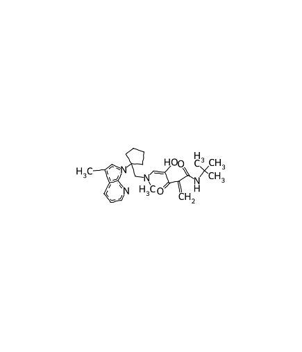 C=C(C(=O)NC(C)(C)C)C(=O)/C(O)=C\N(C)CC1(n2cc(C)c3cccnc32)CCCC1